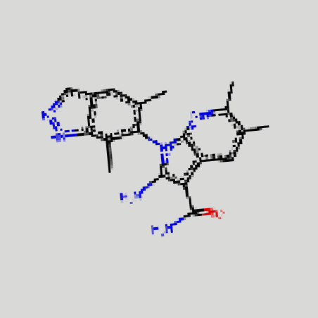 Cc1cc2c(C(N)=O)c(N)n(-c3c(C)cc4cn[nH]c4c3C)c2nc1C